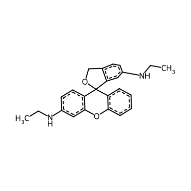 CCNc1ccc2c(c1)Oc1ccccc1C21OCc2ccc(NCC)cc21